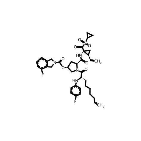 C=CCCCCC[C@H](Nc1ccc(F)cc1)C(=O)N1C[C@H](OC(=O)N2Cc3cccc(F)c3C2)C[C@H]1C(=O)N[C@]1(C(=O)S(=O)(=O)C2CC2)C[C@H]1C=C